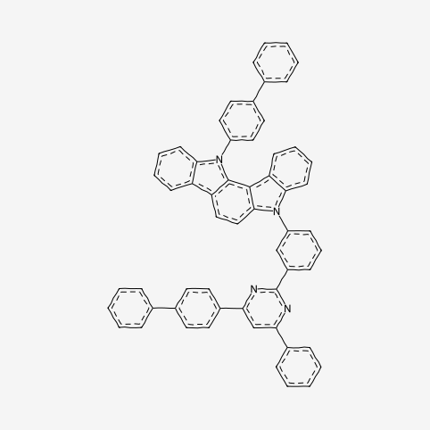 c1ccc(-c2ccc(-c3cc(-c4ccccc4)nc(-c4cccc(-n5c6ccccc6c6c5ccc5c7ccccc7n(-c7ccc(-c8ccccc8)cc7)c56)c4)n3)cc2)cc1